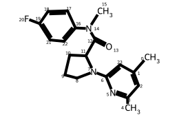 Cc1cc(C)nc(N2CCCC2C(=O)N(C)c2ccc(F)cc2)c1